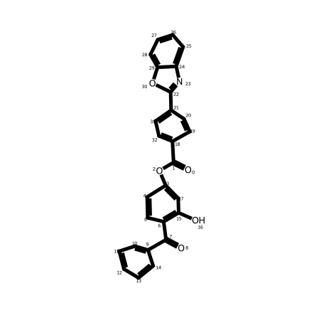 O=C(Oc1ccc(C(=O)c2ccccc2)c(O)c1)c1ccc(-c2nc3ccccc3o2)cc1